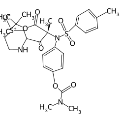 Cc1ccc(S(=O)(=O)N(c2ccc(OC(=O)N(C)C)cc2)[C@@](C)(C(=O)OC(C)(C)C)C(=O)C2C[S+]([O-])CCN2)cc1